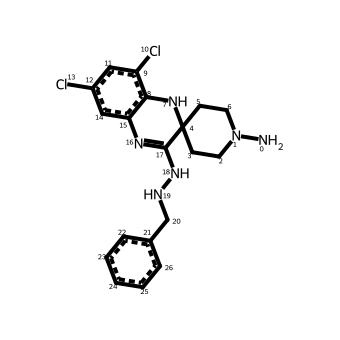 NN1CCC2(CC1)Nc1c(Cl)cc(Cl)cc1N=C2NNCc1ccccc1